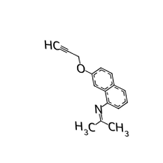 C#CCOc1ccc2cccc(N=C(C)C)c2c1